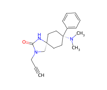 C#CCN1C[C@]2(CC[C@@](c3ccccc3)(N(C)C)CC2)NC1=O